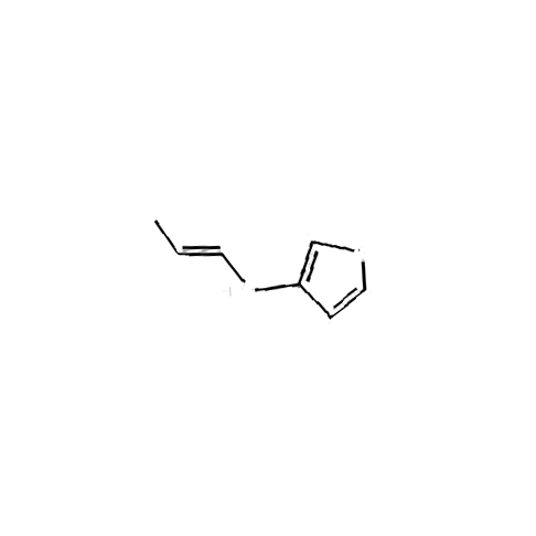 CC=C[SiH2]c1ccsc1